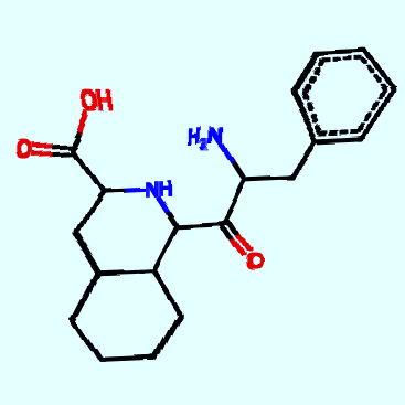 NC(Cc1ccccc1)C(=O)C1NC(C(=O)O)CC2CCCCC21